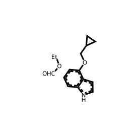 CCOC=O.c1cc(OCC2CC2)c2cc[nH]c2c1